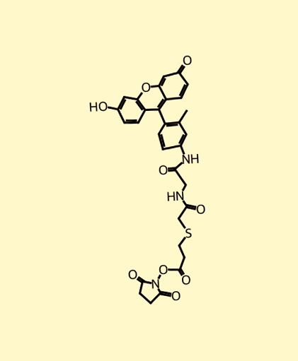 Cc1cc(NC(=O)CNC(=O)CSCCC(=O)ON2C(=O)CCC2=O)ccc1-c1c2ccc(=O)cc-2oc2cc(O)ccc12